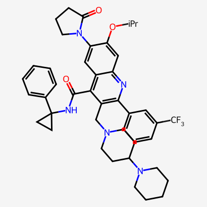 CC(C)Oc1cc2nc(-c3cccc(C(F)(F)F)c3)c(CN3CCC(N4CCCCC4)CC3)c(C(=O)NC3(c4ccccc4)CC3)c2cc1N1CCCC1=O